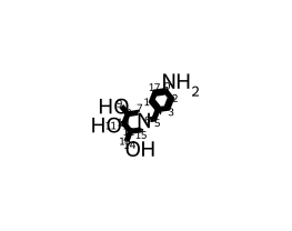 Nc1ccc(CN2CC(O)C(O)C(CO)C2)cc1